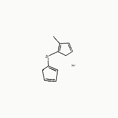 CC1=[C]([Zr][C]2=CC=CC2)CC=C1.[H-]